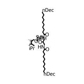 CCCCCCCCCCCCCCCCCCCC(=O)NCC(CNC(=O)CCCCCCCCCCCCCCCCCCC)OP(O)(=S)OC[C@@H](C)[C@H](C)CC(C)C